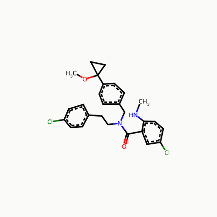 CNc1ccc(Cl)cc1C(=O)N(CCc1ccc(Cl)cc1)Cc1ccc(C2(OC)CC2)cc1